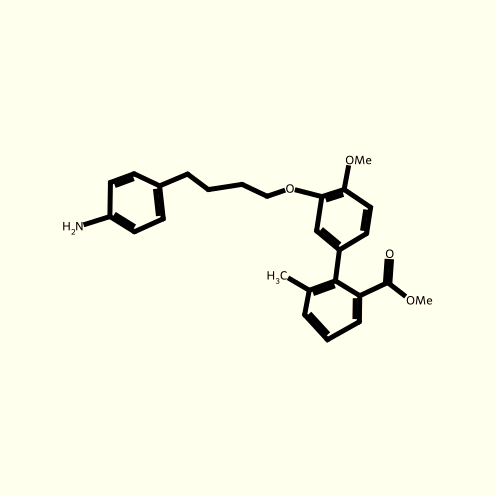 COC(=O)c1cccc(C)c1-c1ccc(OC)c(OCCCCc2ccc(N)cc2)c1